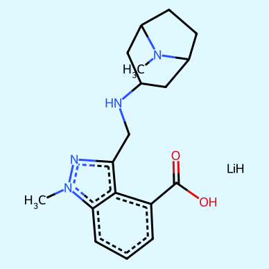 CN1C2CCC1CC(NCc1nn(C)c3cccc(C(=O)O)c13)C2.[LiH]